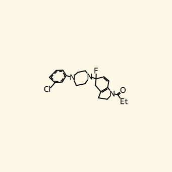 CCC(=O)N1CCC2=C1C=CC(F)(N1CCN(c3cccc(Cl)c3)CC1)C2